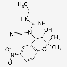 CCNC(=N)N(C#N)C1c2cc([N+](=O)[O-])ccc2OC(C)(C)C1O